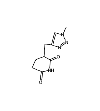 Cn1cc(CC2CCC(=O)NC2=O)nn1